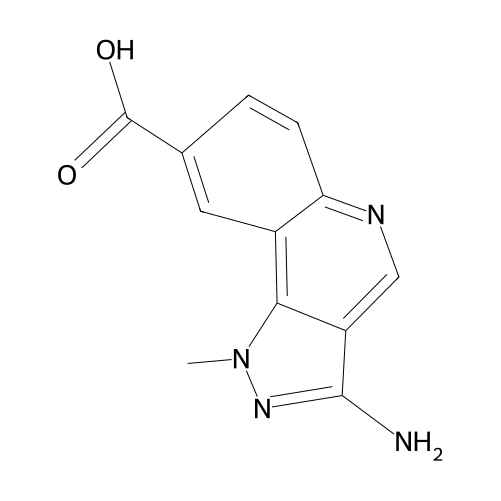 Cn1nc(N)c2cnc3ccc(C(=O)O)cc3c21